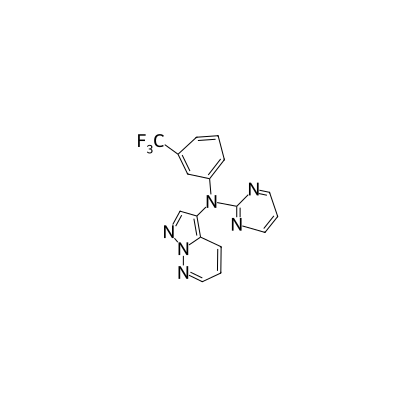 FC(F)(F)c1cccc(N(c2ncccn2)c2cnn3ncccc23)c1